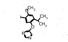 COc1cc(C(C)C)c(Oc2cncnc2)cc1I